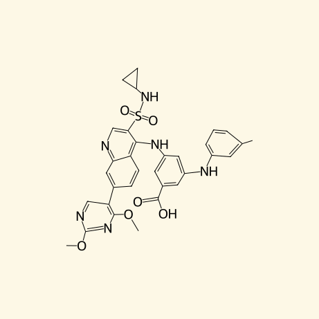 COc1ncc(-c2ccc3c(Nc4cc(Nc5cccc(C)c5)cc(C(=O)O)c4)c(S(=O)(=O)NC4CC4)cnc3c2)c(OC)n1